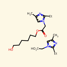 CCc1nc(C)cn1CC(=O)O.CCc1nc(C)cn1CC(=O)OCCCCCCO